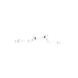 CCCCCC(C)COC(=O)CCCCC(=O)OCC(C)CCCCC